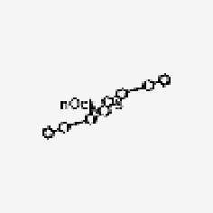 CCCCCCCCn1c2cc(C#Cc3ccc(-c4ccccc4)cc3)ccc2c2ccc3c(ccc4c5ccc(C#Cc6ccc(-c7ccccc7)cc6)cc5sc43)c21